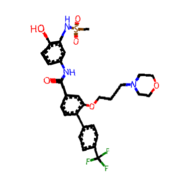 CS(=O)(=O)Nc1cc(NC(=O)c2ccc(-c3ccc(C(F)(F)F)cc3)c(OCCCN3CCOCC3)c2)ccc1O